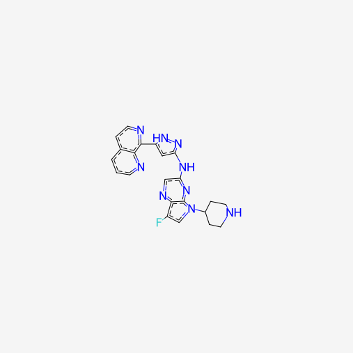 Fc1cn(C2CCNCC2)c2nc(Nc3cc(-c4nccc5cccnc45)[nH]n3)cnc12